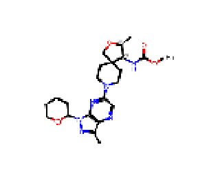 Cc1nn(C2CCCCO2)c2nc(N3CCC4(CC3)CO[C@@H](C)[C@H]4NC(=O)OC(C)(C)C)cnc12